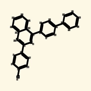 Clc1ccc(-c2nc(-c3ccc(-c4ccccc4)cc3)c3ccccc3n2)cc1